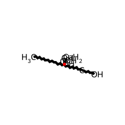 CCCCCCCCCCCCCCCCCCCCCCCCCCCCCCO.O=P(O)(O)O.[CaH2]